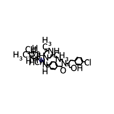 C[C@@H]1[C@@H](/N=C(/Nc2ccc3c(=O)n([C@H](CO)Cc4ccc(Cl)cc4)cnc3c2)N2C[C@@H](C)N[C@@H](C)C2)C[C@H]2C[C@@H]1C2(C)C